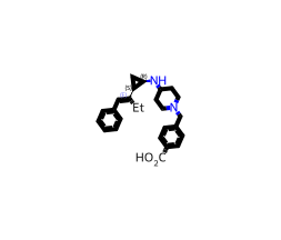 CC/C(=C\c1ccccc1)[C@@H]1C[C@H]1NC1CCN(Cc2ccc(C(=O)O)cc2)CC1